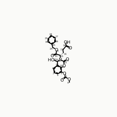 COC(=O)Oc1cccc2c1OC(=O)N([C@@H](CCC(=O)O)C(=O)OCc1ccccc1)C2O